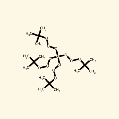 CC(C)(C)OOO[Si](OOOC(C)(C)C)(OOOC(C)(C)C)OOOC(C)(C)C